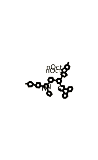 CCCCCCCCC1(CCCCCCCC)c2cc(C)ccc2-c2ccc(-c3cc(-c4cccc(-c5cc(-c6ccc(-c7ccc(C)cc7)cc6)nc(-c6ccccc6)n5)c4)cc(-c4ccc5c6ccccc6c6ccccc6c5c4)c3)cc21